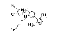 Cc1ccc(-c2c(C)noc2C)cc1N(CCCCCBr)c1ccc(C#N)c(Cl)c1